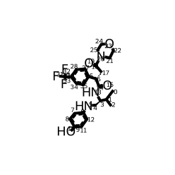 CC(C)[C@@H](CNc1ccc(O)cc1)NC(=O)[C@@H](CC(=O)N1CCOCC1)c1ccc(C(F)(F)F)cc1